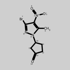 Cc1c([N+](=O)[O-])c(Br)nn1C1CCC(=O)C1